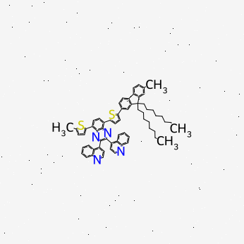 CCCCCCCCC1(CCCCCCCC)c2cc(C)ccc2-c2ccc(-c3ccc(-c4ccc(-c5ccc(C)s5)c5nc(-c6ccnc7ccccc67)c(-c6ccnc7ccccc67)nc45)s3)cc21